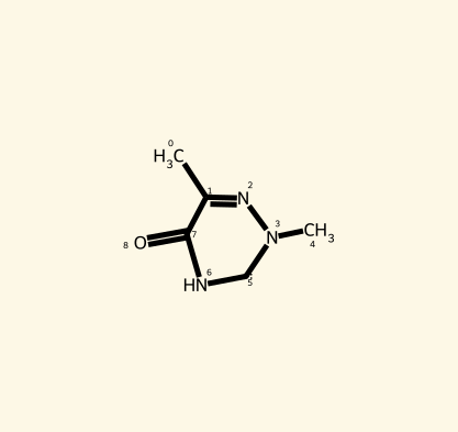 CC1=NN(C)[C]NC1=O